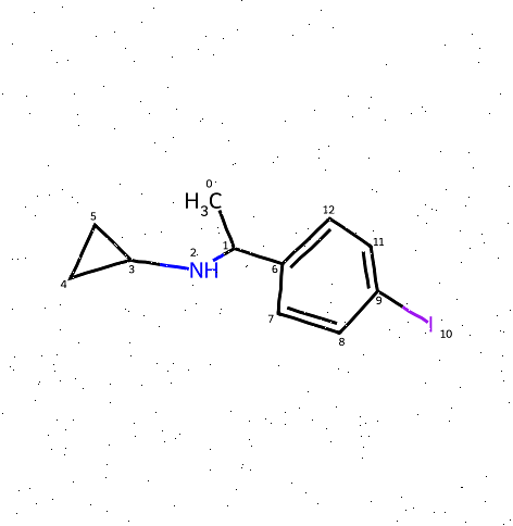 CC(NC1CC1)c1ccc(I)cc1